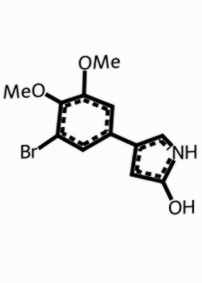 COc1cc(-c2c[nH]c(O)c2)cc(Br)c1OC